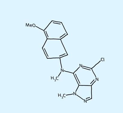 COc1cccc2cc(N(C)c3nc(Cl)nc4cnn(C)c34)ccc12